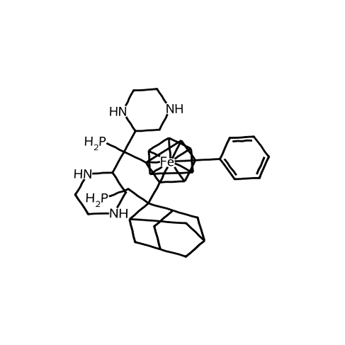 PCC1([C]23[CH]4[C]5(c6ccccc6)[CH]6[C]2(C(P)(C2CNCCN2)C2CNCCN2)[Fe]64532789[CH]3[CH]2[CH]7[CH]8[CH]39)C2CC3CC(C2)CC1C3